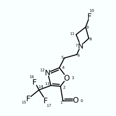 O=Cc1oc(CCN2CC(F)C2)nc1C(F)(F)F